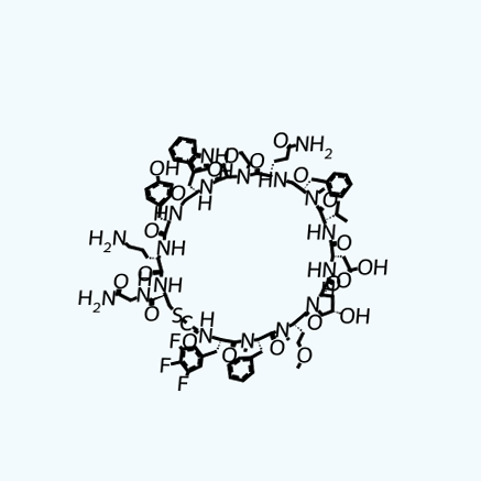 COCC[C@H]1C(=O)N2C[C@@H](O)C[C@@H]2C(=O)N[C@@H](CC(=O)O)C(=O)N[C@@H](C(C)C)C(=O)N(C)[C@@H](Cc2ccccc2)C(=O)N[C@@H](CCC(N)=O)C(=O)N2CCOC[C@@H]2C(=O)N[C@@H](Cc2c[nH]c3ccccc23)C(=O)N[C@@H](Cc2ccc(O)cc2)C(=O)N[C@@H](CCCN)C(=O)N[C@H](C(=O)NCC(N)=O)CSCC(=O)N[C@@H](Cc2cc(F)c(F)c(F)c2)C(=O)N(C)[C@@H](Cc2ccccc2)C(=O)N1C